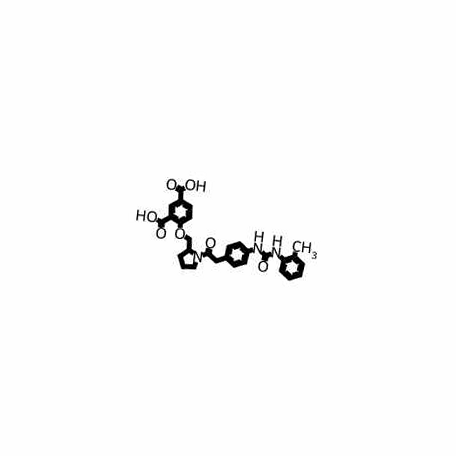 Cc1ccccc1NC(=O)Nc1ccc(CC(=O)N2CCCC2COc2ccc(C(=O)O)cc2C(=O)O)cc1